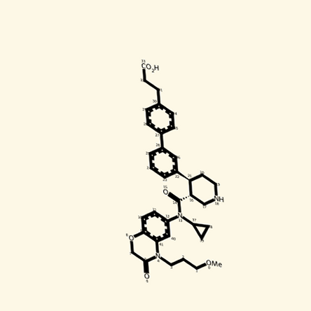 COCCCN1C(=O)COc2ccc(N(C(=O)[C@H]3CNCC[C@@H]3c3cccc(-c4ccc(CCC(=O)O)cc4)c3)C3CC3)cc21